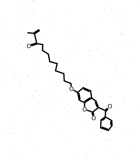 C=C(C)C(=O)CCCCCCCCCOc1ccc2cc(C(=O)c3ccccc3)c(=O)oc2c1